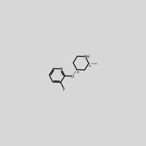 C[C@@H]1C[C@H](Oc2ncccc2F)CCN1